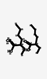 CCCCC(CC)C(=O)O.CCCCC(CC)C(=O)O.[Cu]